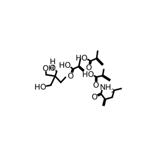 C=C(C)C(=O)O.C=C(C)C(=O)O.C=C(C)C(=O)O.C=C(CCC)C(N)=O.CCC(CO)(CO)CO